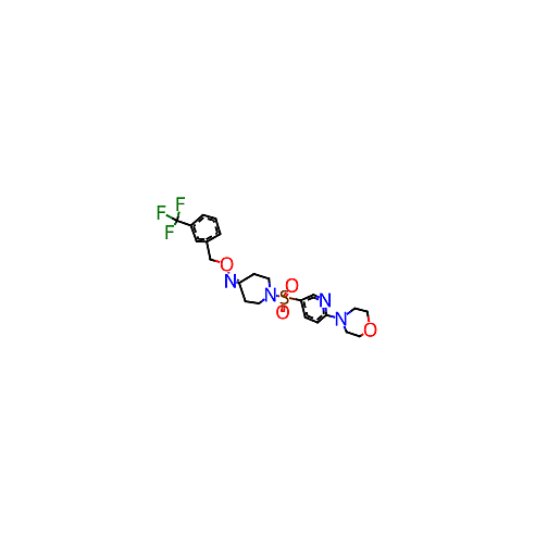 O=S(=O)(c1ccc(N2CCOCC2)nc1)N1CCC(=NOCc2cccc(C(F)(F)F)c2)CC1